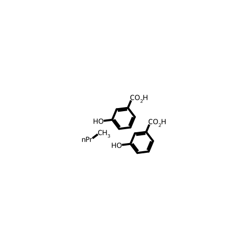 CCCC.O=C(O)c1cccc(O)c1.O=C(O)c1cccc(O)c1